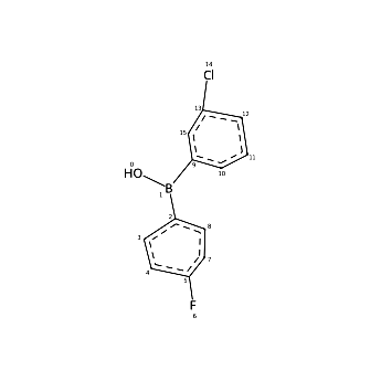 OB(c1ccc(F)cc1)c1cccc(Cl)c1